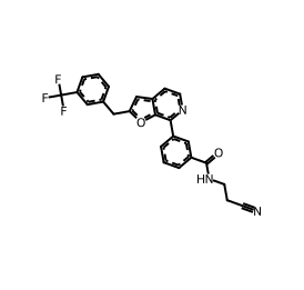 N#CCCNC(=O)c1cccc(-c2nccc3cc(Cc4cccc(C(F)(F)F)c4)oc23)c1